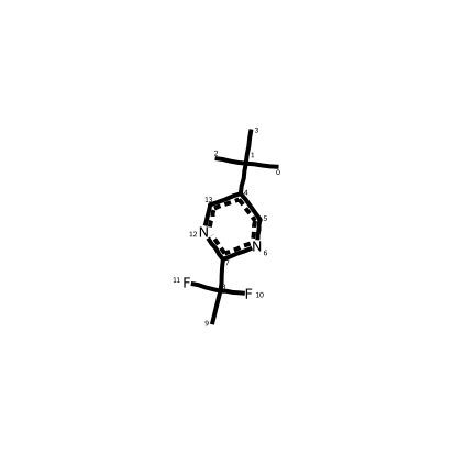 CC(C)(C)c1cnc(C(C)(F)F)nc1